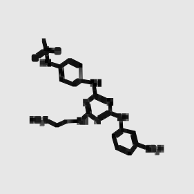 CS(=O)(=O)Nc1ccc(Nc2nc(NCCS(=O)(=O)O)nc(Nc3cccc(S(=O)(=O)O)c3)n2)cc1